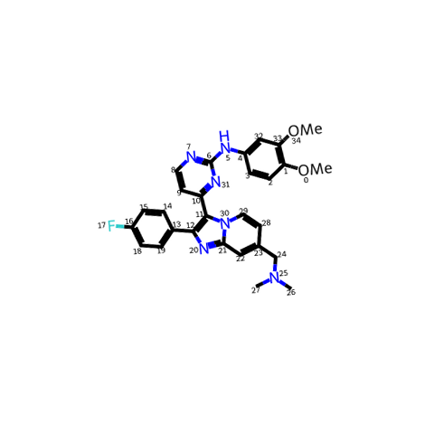 COc1ccc(Nc2nccc(-c3c(-c4ccc(F)cc4)nc4cc(CN(C)C)ccn34)n2)cc1OC